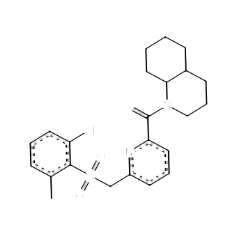 Cc1cccc(Cl)c1S(=O)(=O)Cc1cccc(C(=O)N2CCCC3CCCCC32)n1